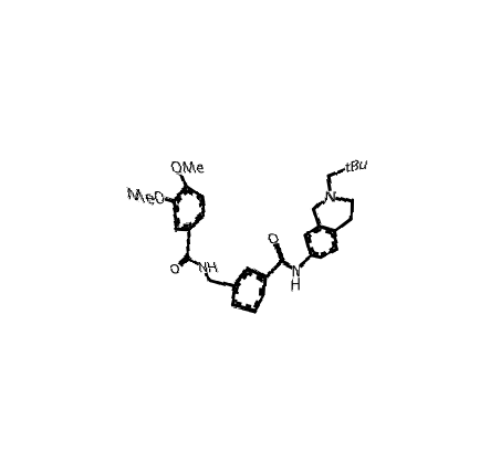 COc1ccc(C(=O)NCc2cccc(C(=O)Nc3ccc4c(c3)CN(CC(C)(C)C)CC4)c2)cc1OC